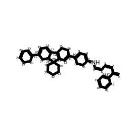 C=C(/C=C\C=C/NC1=CC=C(C2=CC3=C(CC2)C2=CC=C(C4=CC=CCC4)CC2C32CCCCC2)CC1)c1ccccc1